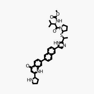 COC(=O)N[C@H](C(=O)N1CCCC1SC(C)c1ncc(-c2ccc3cc(-c4ccc5c(=O)cc(C6CCCN6)[nH]c5c4)ccc3c2)[nH]1)C(C)C